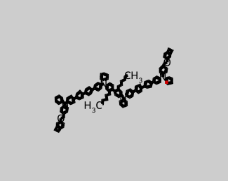 CCCCCCc1cc(N(c2ccccc2)c2ccc(-c3ccc(-c4ccc(-c5ccc(N(c6ccccc6)c6ccc(COc7ccc8c(c7)CC8)cc6)cc5)cc4)cc3)cc2)ccc1-c1ccc(N(c2ccccc2)c2ccc(-c3ccc(-c4ccc(-c5ccc(N(c6ccccc6)c6ccc(COc7ccc8c(c7)CC8)cc6)cc5)cc4)cc3)cc2)cc1CCCCCC